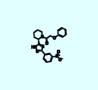 O=C(COc1ccccc1)N1CCCC[C@@H]1c1nc(-c2cccc([N+](=O)[O-])c2)n[nH]1